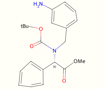 COC(=O)[C@H](c1ccccc1)N(Cc1cccc(N)c1)C(=O)OC(C)(C)C